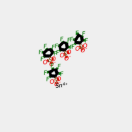 O=S(=O)([O-])c1c(F)c(F)c(F)c(F)c1F.O=S(=O)([O-])c1c(F)c(F)c(F)c(F)c1F.O=S(=O)([O-])c1c(F)c(F)c(F)c(F)c1F.O=S(=O)([O-])c1c(F)c(F)c(F)c(F)c1F.[Sn+4]